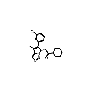 CC1=C(c2cccc(Cl)c2)C(CC(=O)C2CCCCC2)n2cncc21